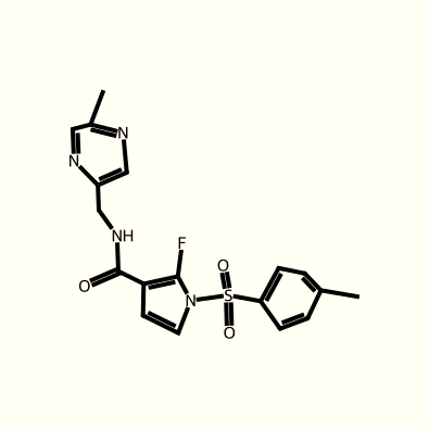 Cc1ccc(S(=O)(=O)n2ccc(C(=O)NCc3cnc(C)cn3)c2F)cc1